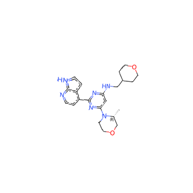 C[C@@H]1COCCN1c1cc(NCC2CCOCC2)nc(-c2ccnc3[nH]ccc23)n1